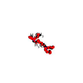 CC1(C)c2ccccc2-c2ccc(-c3ccc(N(c4cccc(-c5cccc(-c6cccc7cc(-c8ccc9c(c8)C(C)(C)c8cc(-c%10ccc(N(c%11ccc(-c%12ccc%13c(ccc%14ccccc%14%13)c%12)cc%11)c%11cccc(-c%12cccc(-c%13cccc%14ccccc%13%14)c%12)c%11)cc%10)ccc8-9)ccc67)c5)c4)c4ccc5c(ccc6ccccc65)c4)cc3)cc21